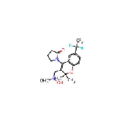 CC1(C)Oc2ccc(C(F)(F)C(F)(F)F)cc2C(N2CCCC2=O)=C1CN(O)C=O